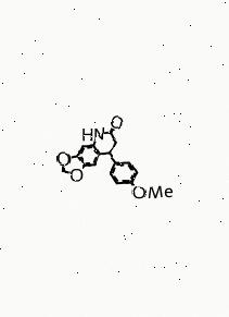 COc1ccc(C2CC(=O)Nc3cc4c(cc32)OCO4)cc1